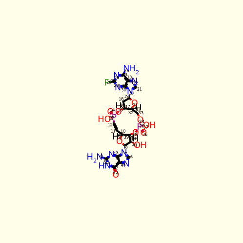 Nc1nc2c(ncn2[C@@H]2O[C@@H]3/C=C\P(=O)(O)O[C@H]4C[C@H](n5cnc6c(N)nc(F)nc65)O[C@@H]4COP(=O)(O)O[C@H]3[C@H]2O)c(=O)[nH]1